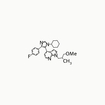 COCC(C)Cn1ccc2c(-c3c(-c4ccc(F)cc4)ncn3C3CCCCC3)ccnc21